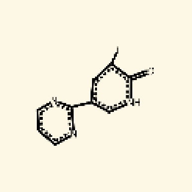 O=c1[nH]cc(-c2ncccn2)cc1I